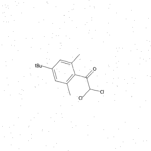 Cc1cc(C(C)(C)C)cc(C)c1C(=O)C(Cl)Cl